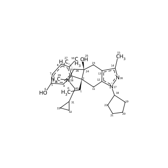 CC[C@]1(c2cc(O)ccc2C)Cc2c(c(C)nn2C2CCCC2)C[C@@]1(O)[C@@H](C)N(C)CC1CC1